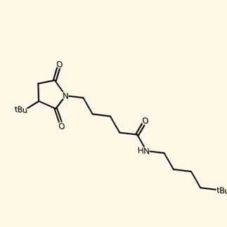 CC(C)(C)CCCCNC(=O)CCCCN1C(=O)CC(C(C)(C)C)C1=O